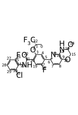 C[C@H](Oc1cc(-c2ccc3c(n2)NC(=O)CO3)c(F)cc1C(=O)Nc1c(F)cccc1Cl)C(F)(F)F